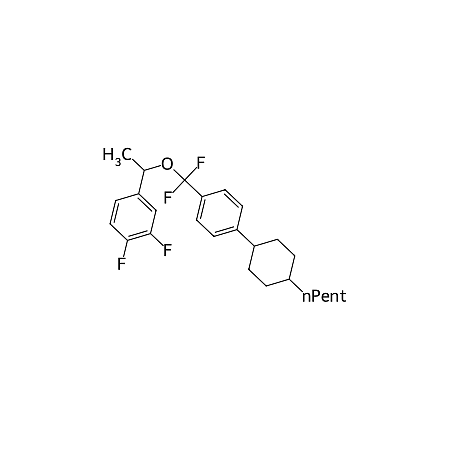 CCCCCC1CCC(c2ccc(C(F)(F)OC(C)c3ccc(F)c(F)c3)cc2)CC1